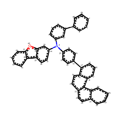 c1ccc(-c2cccc(N(c3ccc(-c4cccc5c4ccc4ccc6ccccc6c45)cc3)c3ccc4c(c3)oc3ccccc34)c2)cc1